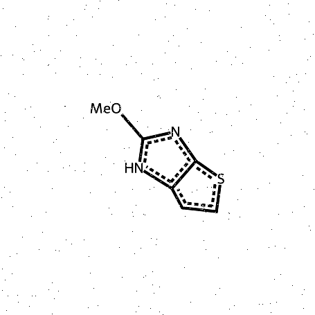 COc1nc2sccc2[nH]1